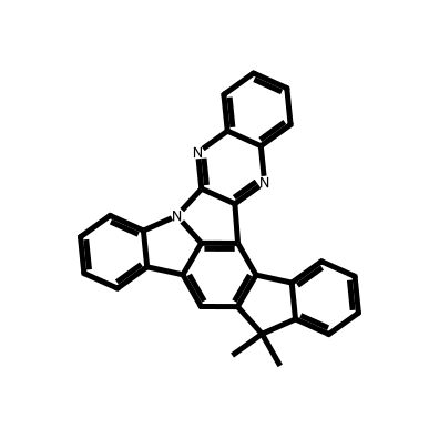 CC1(C)c2ccccc2-c2c1cc1c3ccccc3n3c4nc5ccccc5nc4c2c13